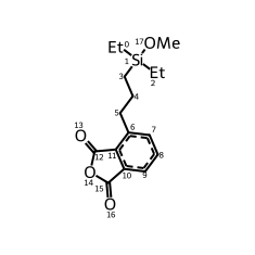 CC[Si](CC)(CCCc1cccc2c1C(=O)OC2=O)OC